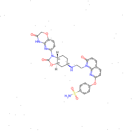 NS(=O)(=O)c1ccc(Oc2ccc3ccc(=O)n(CCN[C@@H]4CC[C@@H]5[C@@H](C4)OC(=O)N5c4ccc5c(n4)NC(=O)CO5)c3n2)cc1